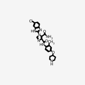 Cc1cc(OC2CCNCC2)ccc1NC(=O)c1ncn(-c2nc3ccc(Cl)cc3[nH]2)c1C(N)=O